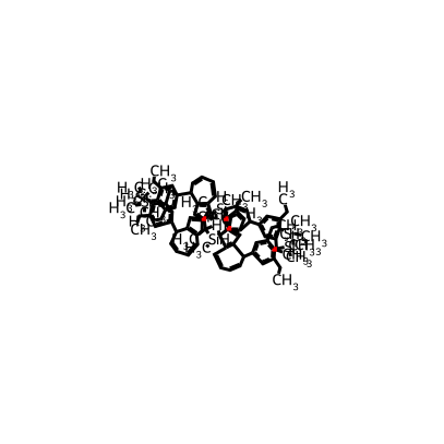 CCC1=CC2=C(C=CC=CC2c2cc(CC)c([Si](C)(C)C)c(CC)c2)[C]12[SiH](C)[C]1(C(CC)=CC3=C1C=CC=CC3c1cc(CC)c([Si](C)(C)C)c(CC)c1)[Hf]21([Cl])([Cl])[C]2(C(CC)=CC3=C2C=CC=CC3c2cc(CC)c([Si](C)(C)C)c(CC)c2)[SiH](C)[C]12C(CC)=CC1=C2C=CC=CC1c1cc(CC)c([Si](C)(C)C)c(CC)c1